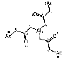 CC(=O)CC(=O)[CH2][Al]([CH2]C(=O)CC(C)=O)[CH2]C(=O)CC(C)=O